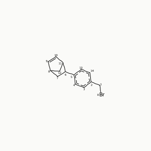 BrCc1ccc(C2CC3C=CC2C3)cc1